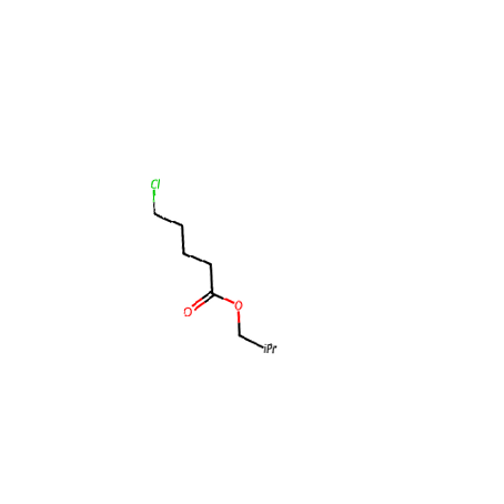 CC(C)COC(=O)CCCCCl